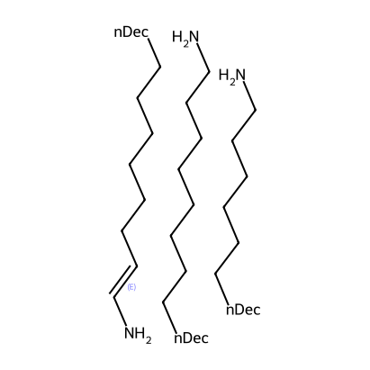 CCCCCCCCCCCCCCCC/C=C/N.CCCCCCCCCCCCCCCCCCN.CCCCCCCCCCCCCCCCN